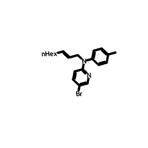 CCCCCCC=CCN(c1ccc(C)cc1)c1ccc(Br)cn1